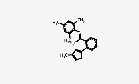 CC1=CCC(c2ccccc2/C(C)=N/c2c(C)cc(C)cc2C)=C1